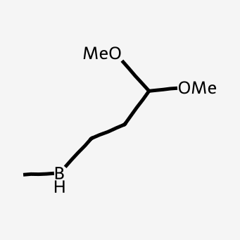 CBCCC(OC)OC